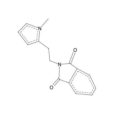 Cn1cccc1CCN1C(=O)c2ccccc2C1=O